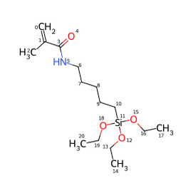 C=C(C)C(=O)NCCCCC[Si](OCC)(OCC)OCC